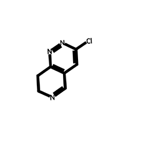 Clc1cc2c(nn1)CCN=C2